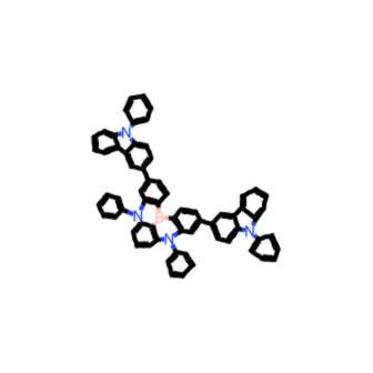 c1ccc(N2c3cc(-c4ccc5c(c4)c4ccccc4n5-c4ccccc4)ccc3B3c4ccc(-c5ccc6c(c5)c5ccccc5n6-c5ccccc5)cc4N(c4ccccc4)c4cccc2c43)cc1